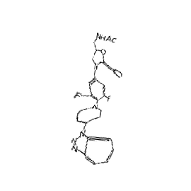 CC(=O)NCC1CN(c2cc(F)c(N3CCC(n4nnc5ccccc54)CC3)c(F)c2)C(=O)O1